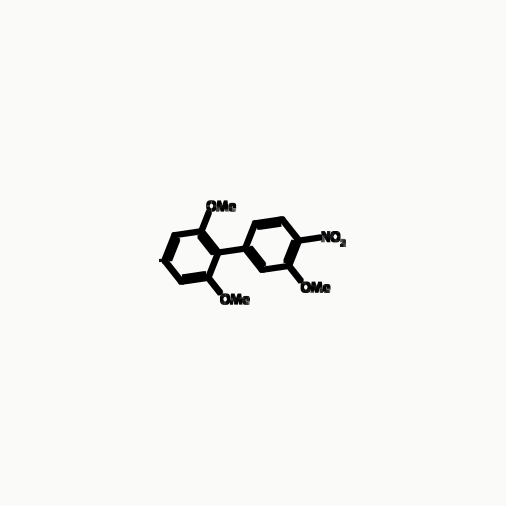 COc1cc(-c2c(OC)c[c]cc2OC)ccc1[N+](=O)[O-]